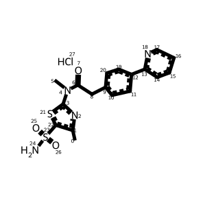 Cc1nc(N(C)C(=O)Cc2ccc(-c3ccccn3)cc2)sc1S(N)(=O)=O.Cl